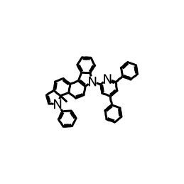 CC12C(=CC=C3c4c(n(-c5cc(-c6ccccc6)cc(-c6ccccc6)n5)c5ccccc45)C=CC31)C=CN2c1ccccc1